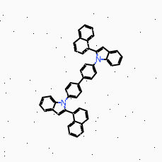 c1ccc2c(-c3cc4ccccc4n3-c3ccc(-c4ccc(-n5c(-c6cccc7ccccc67)cc6ccccc65)cc4)cc3)cccc2c1